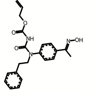 C=CCOC(=O)NC(=O)N(CCc1ccccc1)c1ccc(C(C)=NO)cc1